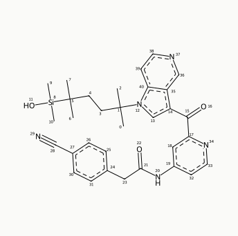 CC(C)(CCC(C)(C)[Si](C)(C)O)n1cc(C(=O)c2cc(NC(=O)Cc3ccc(C#N)cc3)ccn2)c2cnccc21